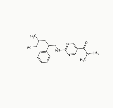 CC(=O)CC(C)CC(CNc1ncc(C(=O)N(C)C)cn1)c1ccccc1